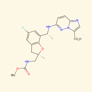 C[C@@H](Nc1ccc2ncc(C(=O)O)n2n1)c1cc(F)cc2c1O[C@@](C)(CNC(=O)OC(C)(C)C)C2